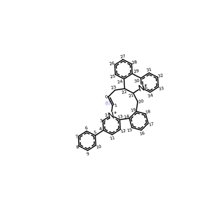 C1=C/[n+]2cc(-c3ccccc3)ccc2-c2ccccc2CC2C(C/1)c1ccccc1-c1cccc[n+]12